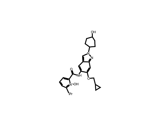 CC(C)c1cccc(C(=O)Nc2cc3cn(C4CCC(O)CC4)nc3cc2OCC2CC2)[n+]1O